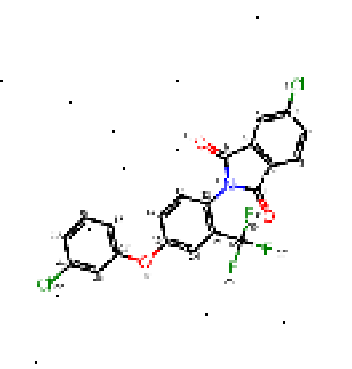 O=C1c2ccc(Cl)cc2C(=O)N1c1ccc(Oc2cccc(Cl)c2)cc1C(F)(F)F